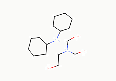 C1CCC(NC2CCCCC2)CC1.OCCN(CO)CO